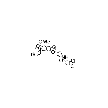 COC(=O)C1Cc2cc3c(cc2CN1C(=O)OC(C)(C)C)O[C@@H](c1ccc(NC(=O)c2ccc(Cl)c(Cl)c2)cc1)CO3